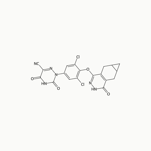 N#Cc1nn(-c2cc(Cl)c(Oc3n[nH]c(=O)c4c3CC3CC3C4)c(Cl)c2)c(=O)[nH]c1=O